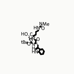 CNC(=O)NCCC[C@H](NC(=O)[C@H](Cc1c[nH]c2ccccc12)NC(=O)OC(C)(C)C)C(=O)O